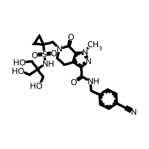 Cn1nc(C(=O)NCc2ccc(C#N)cc2)c2c1C(=O)N(CC1(S(=O)(=O)NC(CO)(CO)CO)CC1)CC2